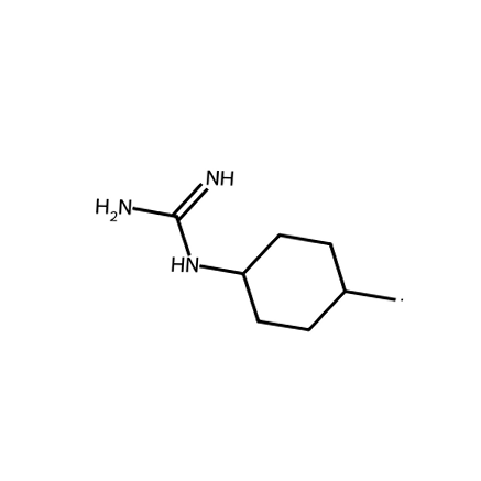 [CH2]C1CCC(NC(=N)N)CC1